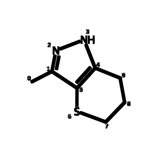 Cc1n[nH]c2c1SCCC2